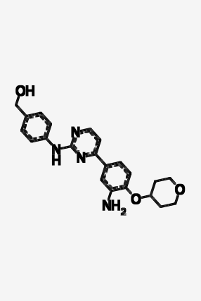 Nc1cc(-c2ccnc(Nc3ccc(CO)cc3)n2)ccc1OC1CCOCC1